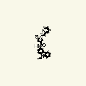 CCn1c2ccccc2c2cc(NC(=O)C3CC(=O)N(CCc4ccccn4)C3)ccc21